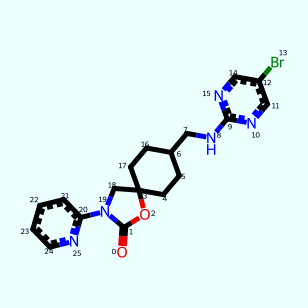 O=C1OC2(CCC(CNc3ncc(Br)cn3)CC2)CN1c1ccccn1